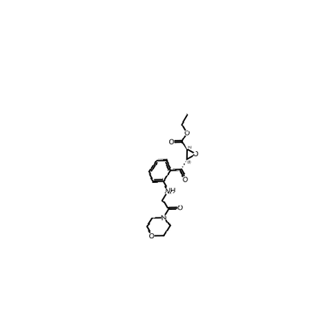 CCOC(=O)[C@H]1O[C@@H]1C(=O)c1ccccc1NCC(=O)N1CCOCC1